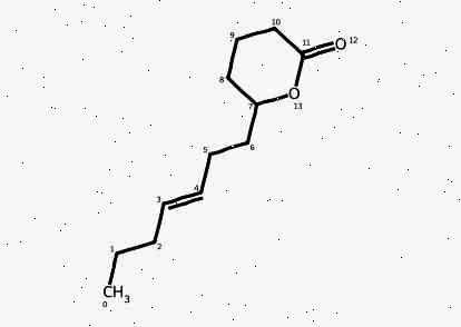 CCC/C=C/CCC1CCCC(=O)O1